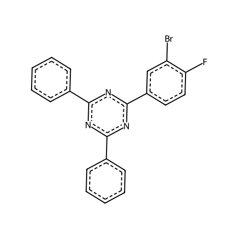 Fc1ccc(-c2nc(-c3ccccc3)nc(-c3ccccc3)n2)cc1Br